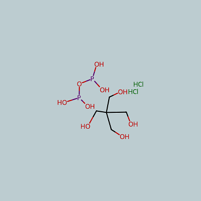 Cl.Cl.OCC(CO)(CO)CO.OP(O)OP(O)O